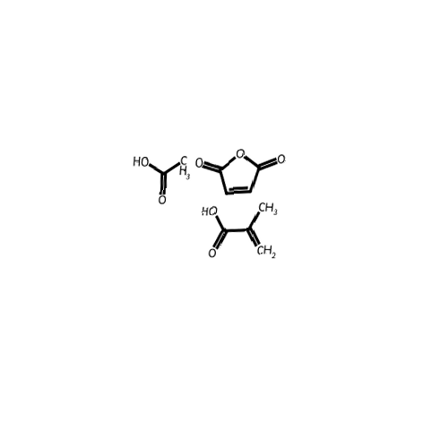 C=C(C)C(=O)O.CC(=O)O.O=C1C=CC(=O)O1